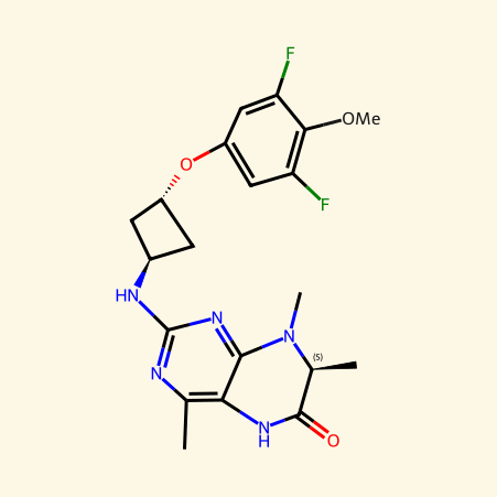 COc1c(F)cc(O[C@H]2C[C@H](Nc3nc(C)c4c(n3)N(C)[C@@H](C)C(=O)N4)C2)cc1F